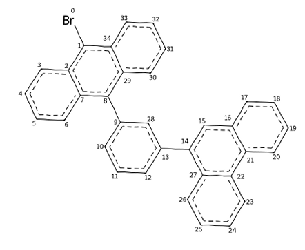 Brc1c2ccccc2c(-c2cccc(-c3cc4ccccc4c4ccccc34)c2)c2ccccc12